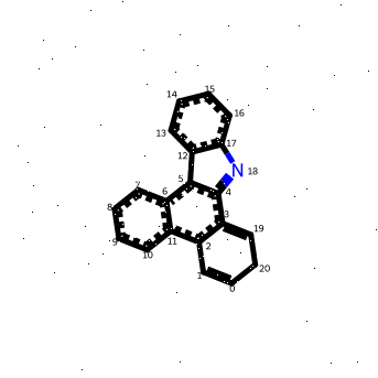 C1=Cc2c(c3c(c4ccccc24)-c2ccccc2N=3)=CC1